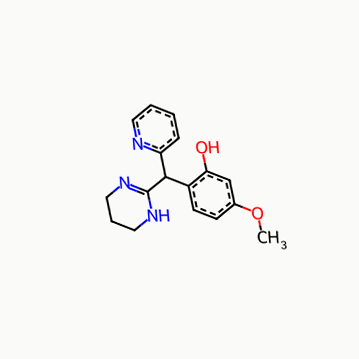 COc1ccc(C(C2=NCCCN2)c2ccccn2)c(O)c1